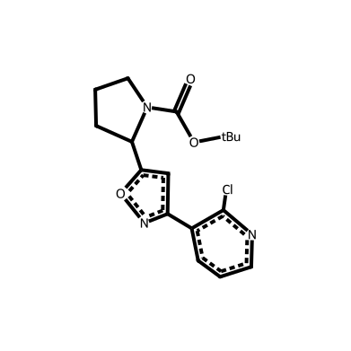 CC(C)(C)OC(=O)N1CCCC1c1cc(-c2cccnc2Cl)no1